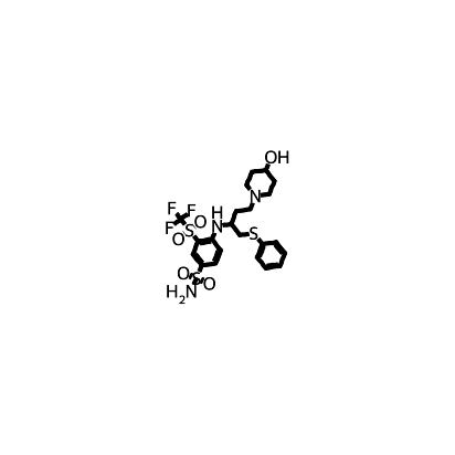 NS(=O)(=O)c1ccc(NC(CCN2CCC(O)CC2)CSc2ccccc2)c(S(=O)(=O)C(F)(F)F)c1